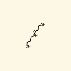 OCCOPOCCO